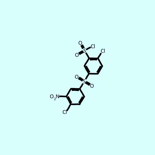 O=[N+]([O-])c1cc(S(=O)(=O)c2ccc(Cl)c(S(=O)(=O)Cl)c2)ccc1Cl